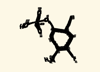 Cc1cc(F)c(N)cc1OS(=O)(=O)O